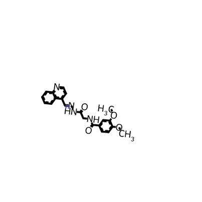 COc1ccc(C(=O)NCC(=O)N/N=C/c2ccnc3ccccc23)cc1OC